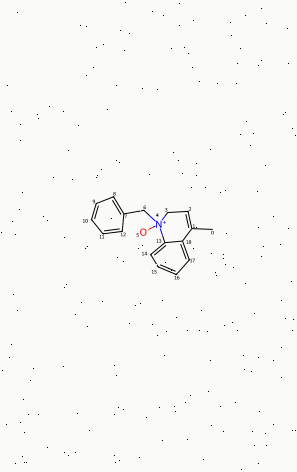 CC1=CC[N+]([O-])(Cc2ccccc2)c2ccccc21